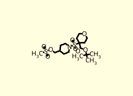 CC(C)(C)OC(=O)C1(S(=O)(=O)N2CCC(COS(C)(=O)=O)CC2)CCOCC1